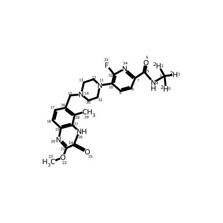 [2H]C([2H])([2H])NC(=O)c1ccc(N2CCN(Cc3ccc4nc(OC)c(=O)[nH]c4c3C)CC2)c(F)n1